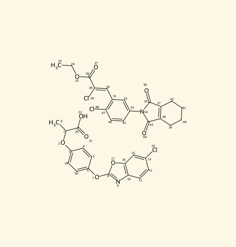 CC(Oc1ccc(Oc2nc3ccc(Cl)cc3o2)cc1)C(=O)O.CCOC(=O)/C(Cl)=C/c1cc(N2C(=O)C3=C(CCCC3)C2=O)ccc1Cl